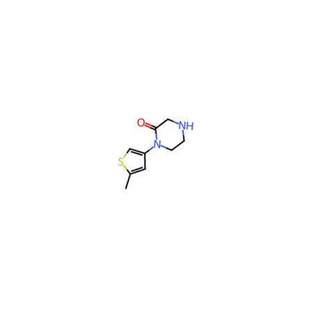 Cc1cc(N2CCNCC2=O)cs1